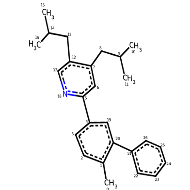 Cc1ccc(-c2cc(CC(C)C)c(CC(C)C)cn2)cc1-c1ccccc1